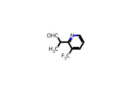 CC(C=O)c1ncccc1C(F)(F)F